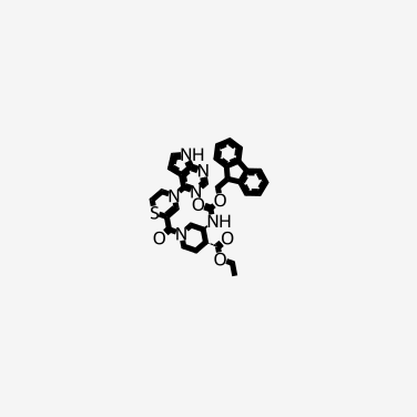 CCOC(=O)[C@@H]1CCN(C(=O)C2=CN(c3ncnc4[nH]ccc34)CCS2)C[C@@H]1NC(=O)OCC1c2ccccc2-c2ccccc21